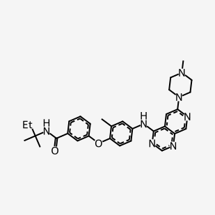 CCC(C)(C)NC(=O)c1cccc(Oc2ccc(Nc3ncnc4cnc(N5CCN(C)CC5)cc34)cc2C)c1